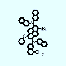 CCC(C)c1cc(N(c2ccc3ccccc3c2)c2ccc3ccccc3c2)c2ccc3c(OC4CCCCC4)cc(N(c4ccc5c(c4)C(C)CC=C5)c4ccc5ccccc5c4)c4ccc1c2c34